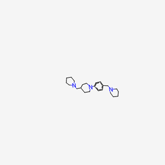 c1cc(N2CCC(CN3CCCCC3)CC2)ccc1CN1CCCCC1